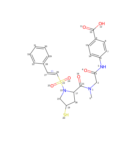 CN(CC(=O)Nc1ccc(C(=O)O)cc1)C(=O)C1CC(S)CN1S(=O)(=O)/C=C/c1ccccc1